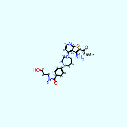 COC(=O)c1sc2nccc(N3CCCN(c4ccc(C(=O)N(C)CCCO)cc4)CC3)c2c1N